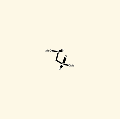 COS(=O)CS(=O)(=O)OC